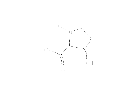 CC1CCN(F)C1C(=O)O